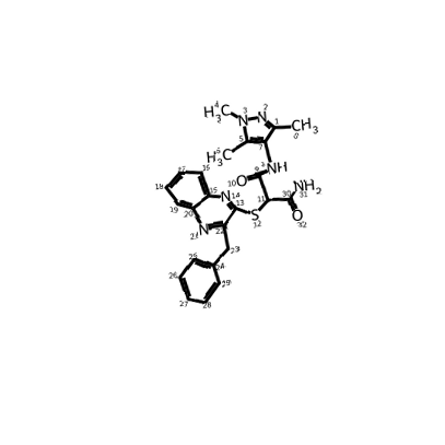 Cc1nn(C)c(C)c1NC(=O)C(Sc1nc2ccccc2nc1Cc1ccccc1)C(N)=O